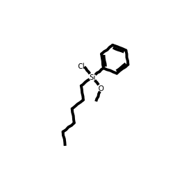 CCCCCC[Si](Cl)(OC)c1ccccc1